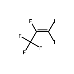 FC(=C(I)I)C(F)(F)F